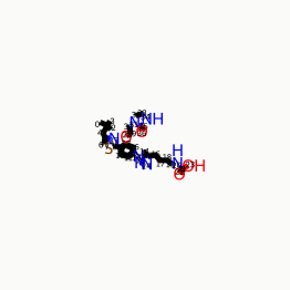 CC(C)(C)Cc1csc(-c2ccc(-n3cc(CCCCNC(=O)O)nn3)cc2OCCN2CCNC2=O)n1